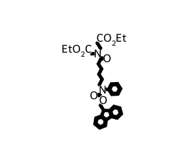 CCOC(=O)CCN(CC(=O)OCC)C(=O)CCCCCN(C(=O)OCC1c2ccccc2-c2ccccc21)c1ccccc1